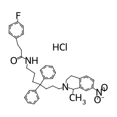 CC1c2cc([N+](=O)[O-])ccc2CCN1CCCC(CCCNC(=O)CCc1ccc(F)cc1)(c1ccccc1)c1ccccc1.Cl